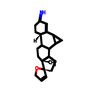 C[C@]12CCC3C(C4CC4C4=CC(=N)CC[C@@H]43)C1CC[C@@]21C=CCO1